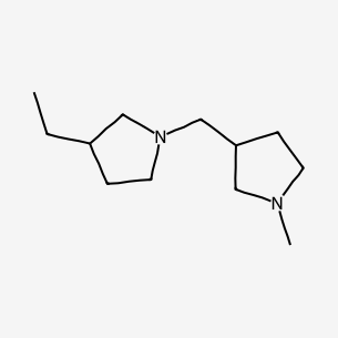 CCC1CCN(CC2CCN(C)C2)C1